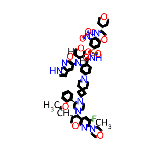 CC(C)Oc1ccccc1[C@@H]1CN([C@@H]2CCOc3nc(N4CCOC[C@@H]4C)c(F)cc32)CCN1C1CC2(CCN(c3ccc(C(=O)NS(=O)(=O)c4cc5c(c([N+](=O)[O-])c4)N[C@H](C4CCOCC4)CO5)c(N4c5cc6cc[nH]c6nc5O[C@H]5COCC[C@@H]54)c3)CC2)C1